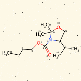 CCCCOC(=O)N1C(C(C)C)COC1(C)C